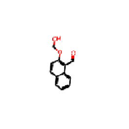 O=Cc1c(OCO)ccc2ccccc12